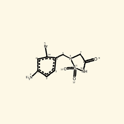 Nc1ccc(CN2CC(=O)NS2(=O)=O)c(Br)c1